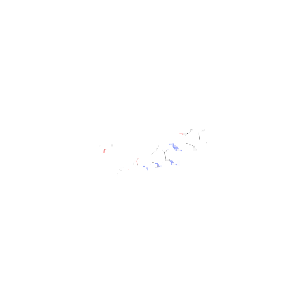 CC(C)(C)OCCC(C)(C)OC(=O)Nc1ccc(/N=N/c2ccccc2O)c(N)n1